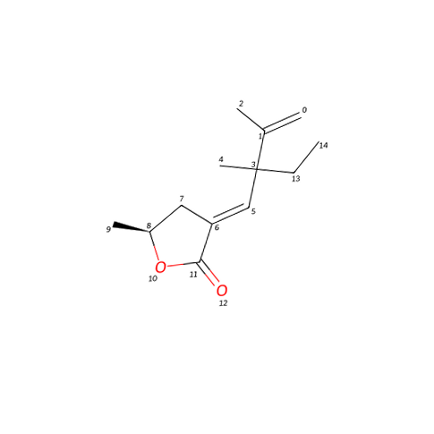 C=C(C)C(C)(/C=C1\C[C@H](C)OC1=O)CC